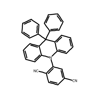 N#Cc1ccc(C#N)c(N2c3ccccc3C(c3ccccc3)(c3ccccc3)c3ccccc32)c1